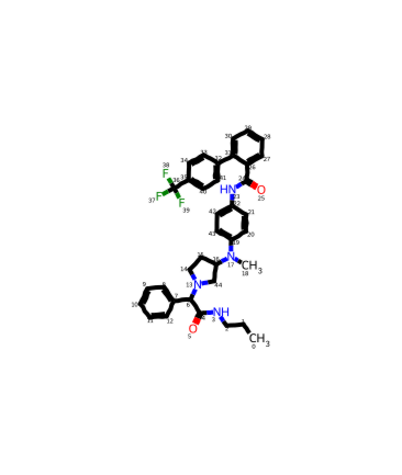 CCCNC(=O)C(c1ccccc1)N1CCC(N(C)c2ccc(NC(=O)c3ccccc3-c3ccc(C(F)(F)F)cc3)cc2)C1